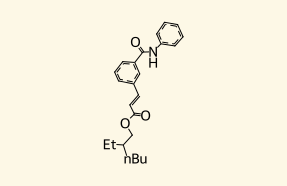 CCCCC(CC)COC(=O)/C=C/c1cccc(C(=O)Nc2ccccc2)c1